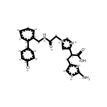 Nc1nc(CC(C(=O)O)c2cn(CC(=O)NCc3ccccc3-c3ccc(Cl)cc3)cn2)cs1